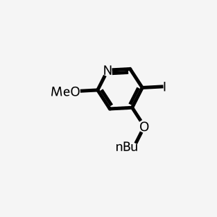 CCCCOc1cc(OC)ncc1I